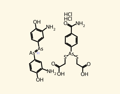 Cl.Cl.NC(=O)c1ccc([As](SCC(=O)O)SCC(=O)O)cc1.Nc1cc(/[As]=[As]/c2ccc(O)c(N)c2)ccc1O